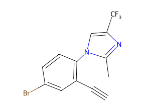 C#Cc1cc(Br)ccc1-n1cc(C(F)(F)F)nc1C